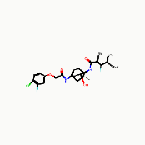 CNC(C)C(F)C(N=O)C(=O)NC12CCC(NC(=O)COc3ccc(Cl)c(F)c3)(CC1)C[C@@H]2O